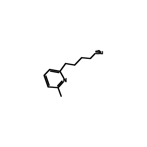 Cc1cccc(CCCCC(C)(C)C)n1